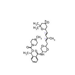 CC(/C=C/C1CC2(CO2)CC(C)(C)O1)=C\CC1OCC(NC(=O)c2ccccc2C(C)OC(=O)N2CCN(C)CC2)CO1